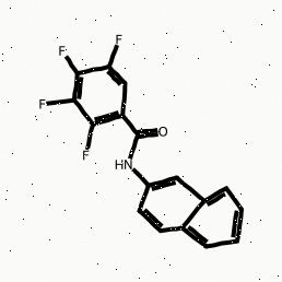 O=C(Nc1ccc2ccccc2c1)c1cc(F)c(F)c(F)c1F